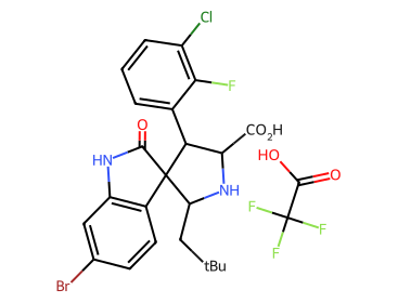 CC(C)(C)CC1NC(C(=O)O)C(c2cccc(Cl)c2F)C12C(=O)Nc1cc(Br)ccc12.O=C(O)C(F)(F)F